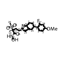 COc1ccc(-c2ccc3nn(CC[C@](C)(C(=O)NO)S(C)(=O)=O)cc3c2)c(F)c1